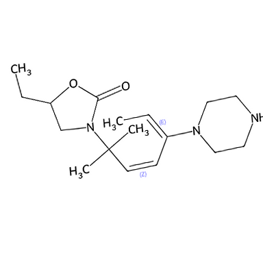 C/C=C(\C=C/C(C)(C)N1CC(CC)OC1=O)N1CCNCC1